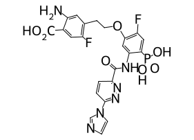 Nc1cc(CCOc2cc(NC(=O)c3ccc(-n4ccnc4)nn3)c(P(=O)(O)O)cc2F)c(F)cc1C(=O)O